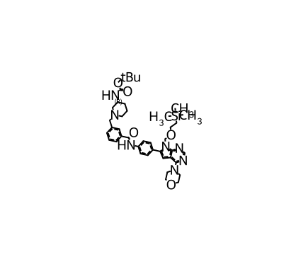 CC(C)(C)OC(=O)N[C@@H]1CCCN(Cc2cccc(C(=O)Nc3ccc(-c4cc5c(N6CCOCC6)ncnc5n4COCC[Si](C)(C)C)cc3)c2)C1